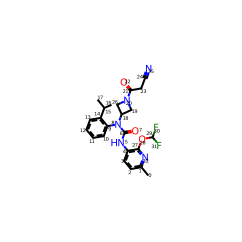 Cc1ccc(NC(=O)N(c2ccccc2C(C)C)C2CN(C(=O)CC#N)C2)c(OC(F)F)n1